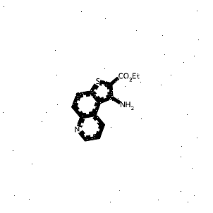 CCOC(=O)c1sc2ccc3ncccc3c2c1N